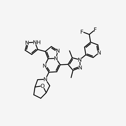 Cc1nn(-c2cncc(C(F)F)c2)c(C)c1-c1cc(N2CC3CCC(C2)O3)nc2c(-c3ccn[nH]3)cnn12